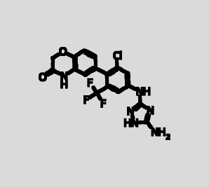 Nc1nc(Nc2cc(Cl)c(-c3ccc4c(c3)NC(=O)CO4)c(C(F)(F)F)c2)n[nH]1